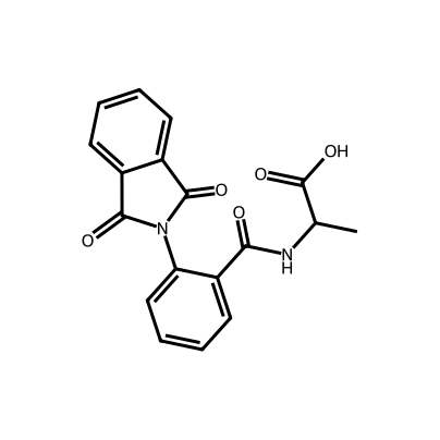 CC(NC(=O)c1ccccc1N1C(=O)c2ccccc2C1=O)C(=O)O